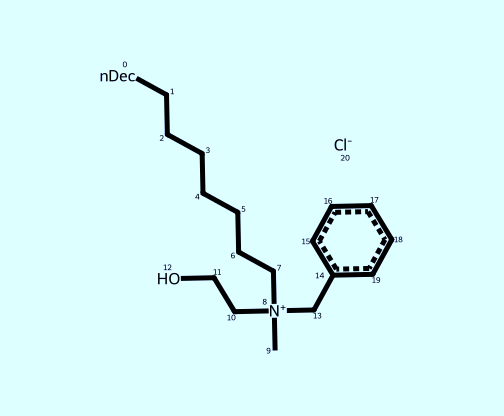 CCCCCCCCCCCCCCCCC[N+](C)(CCO)Cc1ccccc1.[Cl-]